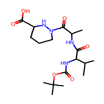 CC(NC(=O)C(NC(=O)OC(C)(C)C)C(C)C)C(=O)N1CCCC(C(=O)O)N1